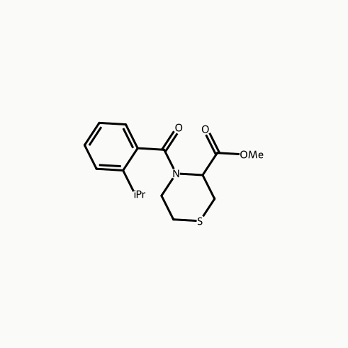 COC(=O)C1CSCCN1C(=O)c1ccccc1C(C)C